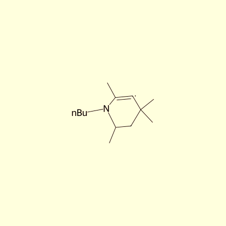 CCCCN1C(C)=[C]C(C)(C)CC1C